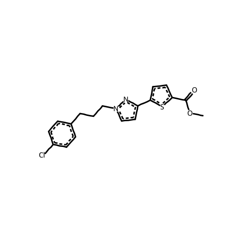 COC(=O)c1ccc(-c2ccn(CCCc3ccc(Cl)cc3)n2)s1